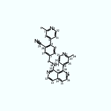 Cc1cc(-c2ccc(CNc3nccc4ccnc(-c5ccnc(C)c5)c34)cc2C#N)ccn1